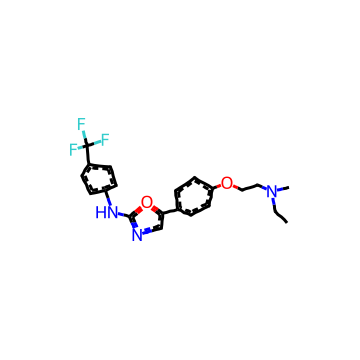 CCN(C)CCOc1ccc(-c2cnc(Nc3ccc(C(F)(F)F)cc3)o2)cc1